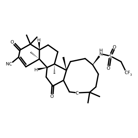 CC1(C)CCC2C(=O)C[C@@H]3[C@@]4(C)C=C(C#N)C(=O)C(C)(C)[C@@H]4CC[C@@]3(C)[C@]2(C)CC[C@@H](NS(=O)(=O)CC(F)(F)F)CC1